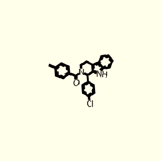 Cc1ccc(C(=O)N2CCc3c([nH]c4ccccc34)C2c2ccc(Cl)cc2)cc1